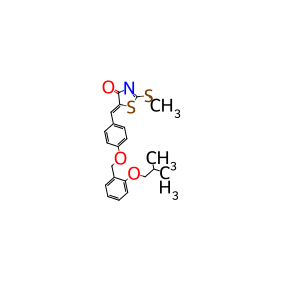 CSC1=NC(=O)C(=Cc2ccc(OCc3ccccc3OCC(C)C)cc2)S1